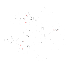 CC(C)(C)c1cc(-c2nc(-c3cc(C(C)(C)C)cc(C(C)(C)C)c3)nc(-c3cc4c5c(c3)N(c3cc(-c6ccccc6)cc(-c6ccccc6)c3)c3cc6ccc7cccc8ccc(c3B5c3c(cc5ccc9cccc%10ccc3c5c9%10)N4c3cc(-c4ccccc4)cc(-c4ccccc4)c3)c6c78)n2)cc(C(C)(C)C)c1